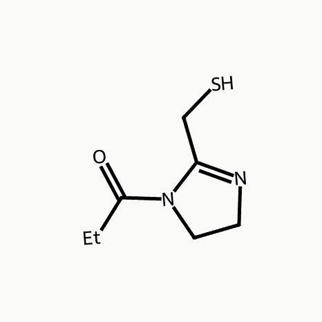 CCC(=O)N1CCN=C1CS